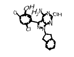 Cl.Nc1ncnc2c1c(-c1cc(O)c(Cl)cc1Cl)nn2C1Cc2ccccc2C1